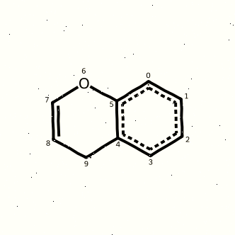 [c]1cccc2c1OC=C[CH]2